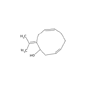 CC(C)=C1CC=CCCC=CCC1O